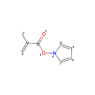 C=C(C)C(=O)On1cccc1